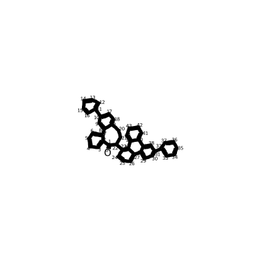 O=C1c2ccccc2-c2cc(-c3ccccc3)ccc2CCC1c1cccc2c3ccc(-c4ccccc4)cc3c3ccccc3c12